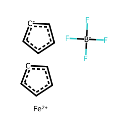 F[B-](F)(F)F.[Fe+2].c1cc[cH-]c1.c1cc[cH-]c1